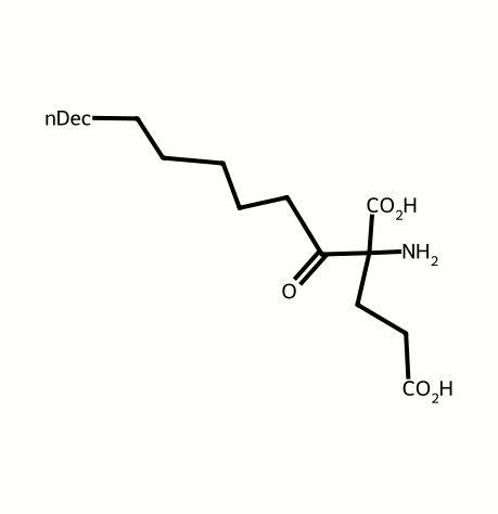 CCCCCCCCCCCCCCCC(=O)C(N)(CCC(=O)O)C(=O)O